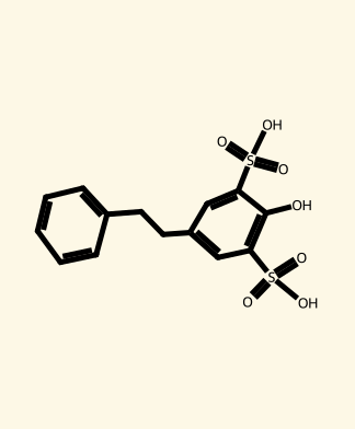 O=S(=O)(O)c1cc(CCc2ccccc2)cc(S(=O)(=O)O)c1O